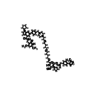 Cc1cc(C)c(CNC(=O)c2cc(-c3ccc(CN4CCN(CCOCCCCOCCCCOCC(=O)NC(C(=O)N5CCC[C@H]5C(=O)NCc5ccc(-c6scnc6C)cc5)C(C)(C)C)CC4)cc3)cc3c2ccn3C2CCCC2)c(=O)[nH]1